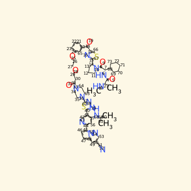 CNC(C)C(=O)N[C@H](C(=O)N1CCCC1c1nc(C(=O)c2cccc(OCCOCCC(=O)N3CCN(c4nnc(-c5cnc(-c6ccc7cc(C#N)cnn67)cc5NC(C)C)s4)CC3)c2)cs1)C1CCCCC1